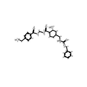 Cl.NCc1ccc(C(=O)OCOC(=O)C2CCC(CNC(=O)OCc3ccccc3)CC2)cc1